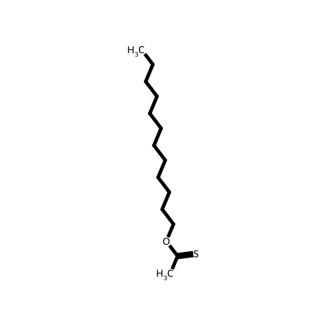 CCCCCCCCCCCCOC(C)=S